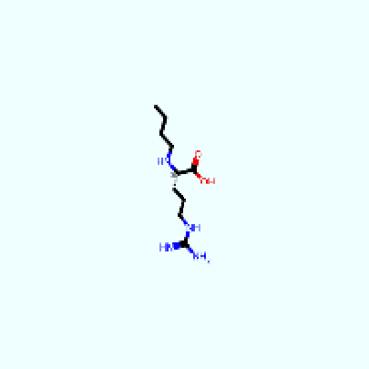 CCCCN[C@@H](CCCNC(=N)N)C(=O)O